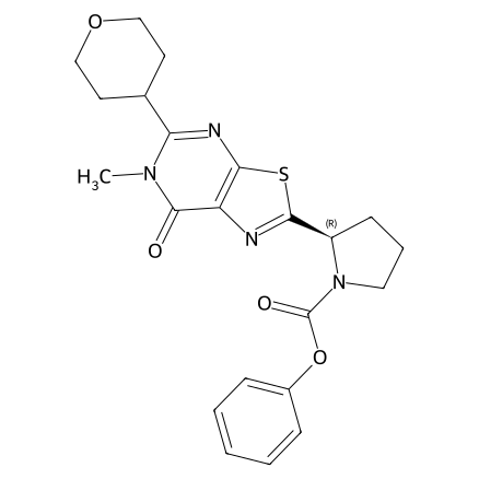 Cn1c(C2CCOCC2)nc2sc([C@H]3CCCN3C(=O)Oc3ccccc3)nc2c1=O